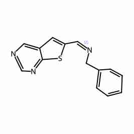 C(=N/Cc1ccccc1)/c1cc2cncnc2s1